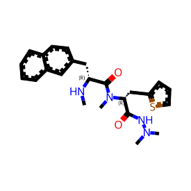 CN[C@H](Cc1ccc2ccccc2c1)C(=O)N(C)[C@H](Cc1cccs1)C(=O)NN(C)C